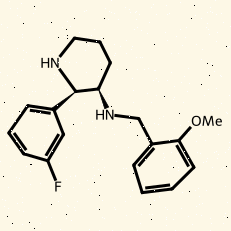 COc1ccccc1CN[C@@H]1CCCN[C@@H]1c1cccc(F)c1